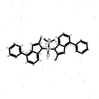 CC1=Cc2c(-c3ccccc3)cccc2[CH]1[Hf]([Cl])([CH]1C(C)=Cc2c(-c3ccccc3)cccc21)[SiH](C)C